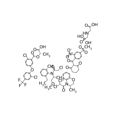 CC1COc2ccccc2N1C(=O)C(Cl)Cl.CCc1cccc(C)c1N(C(=O)CCl)C(C)COC.CS(=O)(=O)c1ccc(C(=O)C2C(=O)CCCC2=O)c([N+](=O)[O-])c1.C[C@H](OC(=O)c1cc(Oc2ccc(C(F)(F)F)cc2Cl)ccc1Cl)C(=O)O.O=C(O)CNCP(=O)(O)O